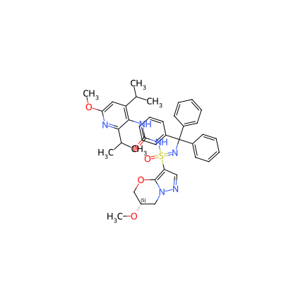 COc1cc(C(C)C)c(NC(=O)NS(=O)(=NC(c2ccccc2)(c2ccccc2)c2ccccc2)c2cnn3c2OC[C@@H](OC)C3)c(C(C)C)n1